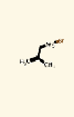 C=C(C)[CH2][Mg][Br]